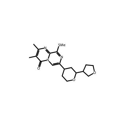 CSc1nc(C2CCOC(C3CCOC3)C2)cn2c(=O)c(C)c(C)nc12